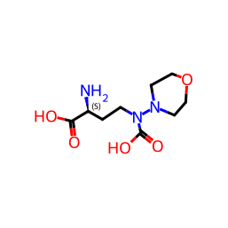 N[C@@H](CCN(C(=O)O)N1CCOCC1)C(=O)O